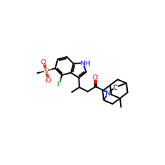 CC(CC(=O)N1CC2CC3CC1CC(C)(C3)C2)c1c[nH]c2ccc(S(C)(=O)=O)c(F)c12